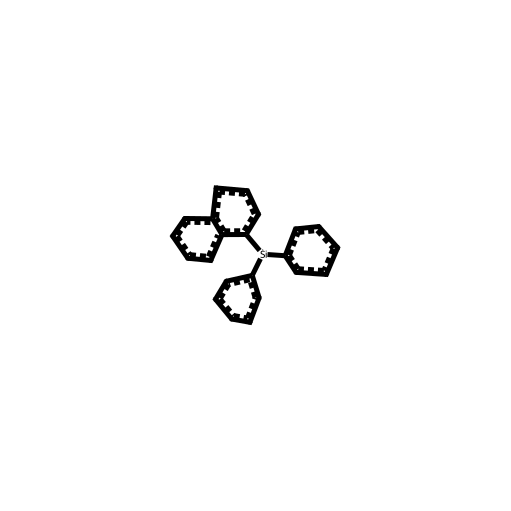 c1ccc([Si](c2ccccc2)c2cccc3ccccc23)cc1